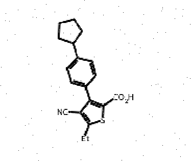 CCc1sc(C(=O)O)c(-c2ccc(C3CCCC3)cc2)c1C#N